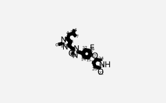 Cc1nc(CC(C)C)cc(-c2nc(-c3ccc(O[C@@H]4CCC(=O)NC4)c(F)c3)no2)n1